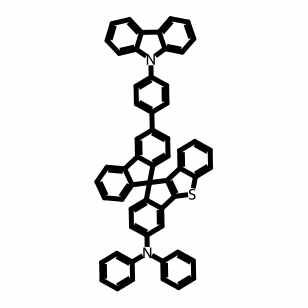 c1ccc(N(c2ccccc2)c2ccc3c(c2)-c2sc4ccccc4c2C32c3ccccc3-c3cc(-c4ccc(-n5c6ccccc6c6ccccc65)cc4)ccc32)cc1